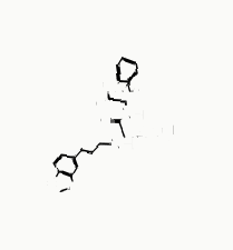 COC(=O)[C@H](Cc1ccccc1)NC(=O)[C@H](CC(=O)O)NCCCc1ccc2c(c1)OCO2